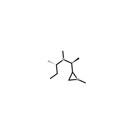 CC[C@H](C)N(C)[C@@H](C)C1CN1C